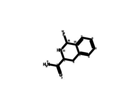 NC(=O)C1Cc2ccccc2C(F)N1